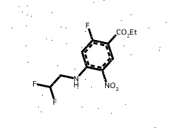 CCOC(=O)c1cc([N+](=O)[O-])c(NCC(F)F)cc1F